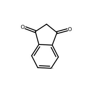 O=C1CC(=O)c2cc[c]cc21